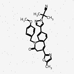 COc1ccc(CN2C(=O)CC(c3ncc(C)o3)=Cc3ccc(-c4cnn(C(C)(C)C#N)c4)cc32)cc1